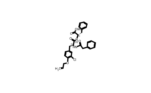 C=CCOc1ccc(C[C@H](NC(=O)Cc2ccccc2)C(=O)N[C@@H](Cc2ccccc2)C(=O)OC)cc1Cl